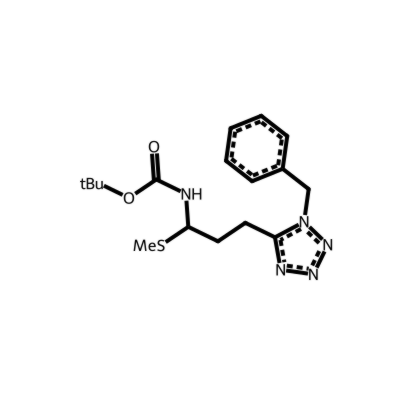 CSC(CCc1nnnn1Cc1ccccc1)NC(=O)OC(C)(C)C